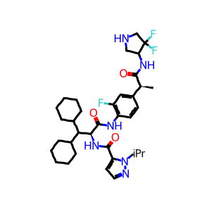 CC(C)n1nccc1C(=O)N[C@H](C(=O)Nc1ccc([C@H](C)C(=O)NC2CNCC2(F)F)cc1F)C(C1CCCCC1)C1CCCCC1